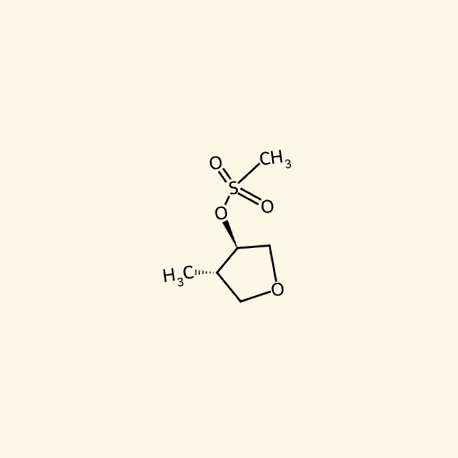 C[C@H]1COC[C@@H]1OS(C)(=O)=O